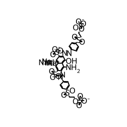 Nc1c(N=Nc2ccc(S(=O)(=O)CCOS(=O)(=O)[O-])cc2)c(S(=O)(=O)[O-])cc2cc(S(=O)(=O)[O-])c(N=Nc3ccc(S(=O)(=O)CCOS(=O)(=O)[O-])cc3)c(O)c12.[Na+].[Na+].[Na+].[Na+]